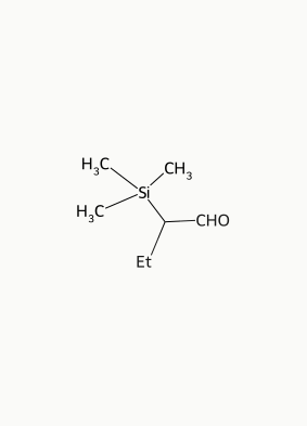 CCC(C=O)[Si](C)(C)C